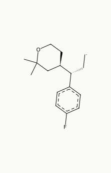 [CH2]C[C@H](c1ccc(F)cc1)[C@@H]1CCOC(C)(C)C1